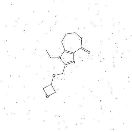 CCn1c(COC2COC2)nc2c1CCCCC2=O